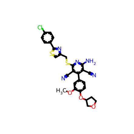 COc1cc(-c2c(C#N)c(N)nc(SCc3csc(-c4ccc(Cl)cc4)n3)c2C#N)ccc1OC1CCOC1